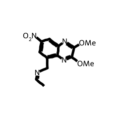 C/C=N\Cc1cc([N+](=O)[O-])cc2nc(OC)c(OC)nc12